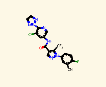 N#Cc1cc(-n2ncc(C(=O)Nc3cnc(-n4nccn4)c(Cl)c3)c2C(F)(F)F)ccc1F